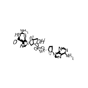 C[C@]1(CO)O[C@@H](n2cnc3c(=O)[nH]c(N)nc32)C[C@@H]1OP(=O)(S)OC[C@@H]1CC[C@H](n2cnc3c(N)ncnc32)O1